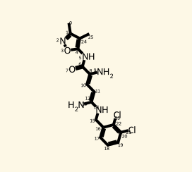 Cc1noc(NC(=O)/C(N)=C/C=C(\N)NCc2cccc(Cl)c2Cl)c1C